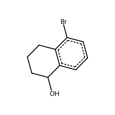 OC1CCCc2c(Br)cccc21